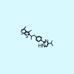 Cc1csc2sc(C(C)Cc3ccc(-c4nc(C(C)C)c[nH]4)cc3)c(C)c12